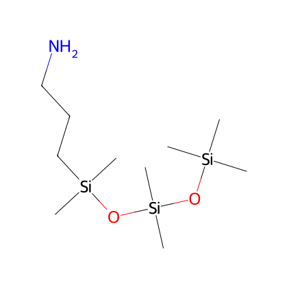 C[Si](C)(C)O[Si](C)(C)O[Si](C)(C)CCCN